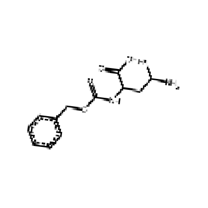 NC(S)CC(NC(=O)OCc1ccccc1)C(=O)O